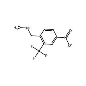 CNCc1ccc([N+](=O)[O-])cc1C(F)(F)F